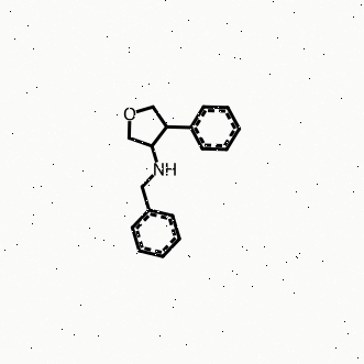 c1ccc(CNC2COCC2c2ccccc2)cc1